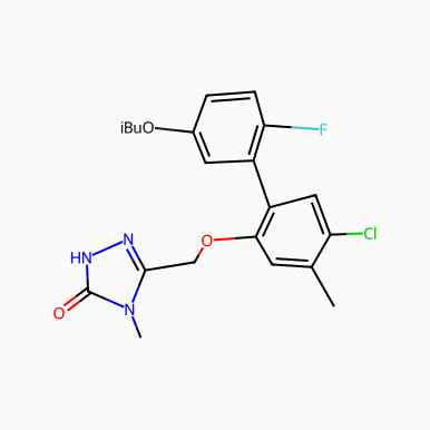 Cc1cc(OCc2n[nH]c(=O)n2C)c(-c2cc(OCC(C)C)ccc2F)cc1Cl